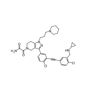 NC(=O)C(=O)N1CCc2c(c(-c3ccc(Cl)c(C#Cc4ccc(Cl)c(CNC5CC5)c4)c3)nn2CCCN2CCCCC2)C1